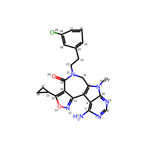 CC(C)n1c2c(c3c(N)ncnc31)-c1noc(C3CC3)c1C(=O)N(CCc1cccc(Cl)c1)C2